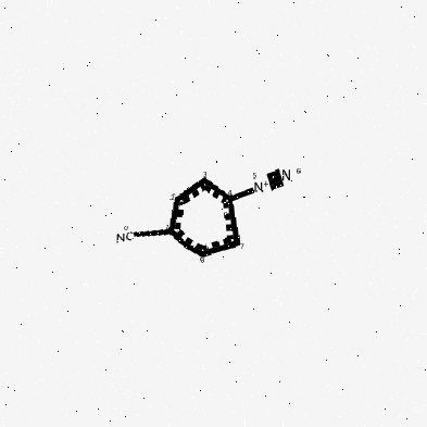 N#Cc1ccc([N+]#N)cc1